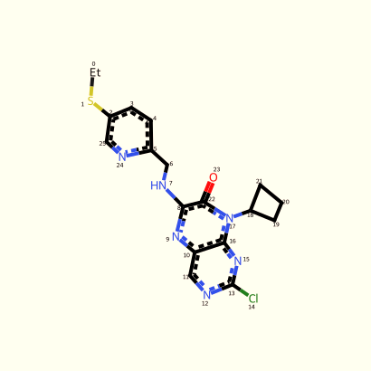 CCSc1ccc(CNc2nc3cnc(Cl)nc3n(C3CCC3)c2=O)nc1